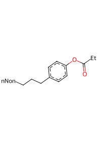 CCCCCCCCCCCCc1ccc(OC(=O)CC)cc1